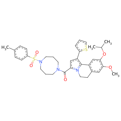 COc1cc2c(cc1OC(C)C)-c1c(-c3cccs3)cc(C(=O)N3CCCN(S(=O)(=O)c4ccc(C)cc4)CCC3)n1CC2